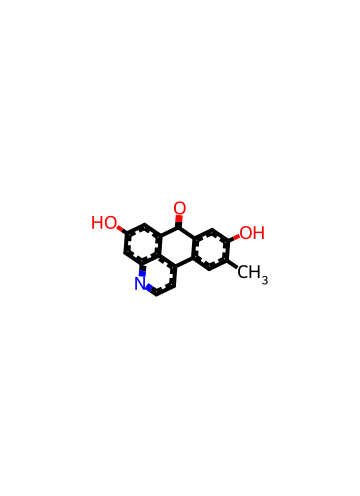 Cc1cc2c(cc1O)C(=O)c1cc(O)cc3nccc-2c13